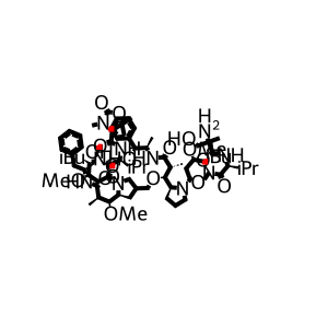 CC[C@H](C)[C@@H]([C@@H](CC(=O)N1CC(CO[C@H]([C@@H](C)C(=O)N[C@H](C)[C@@H](O)c2ccccc2)[C@@H]2CCCN2C(=O)C[C@@H](OC)[C@H]([C@@H](C)CC)N(C)C(=O)[C@@H](NC(=O)C(C)(N)CO)C(C)C)C[C@H]1[C@H](OC)[C@@H](C)C(=O)N[C@H](CO)Cc1ccccc1)OC)N(C)C(=O)[C@@H](NC(=O)C1N(C)C(=O)OC1(C)C)C(C)C